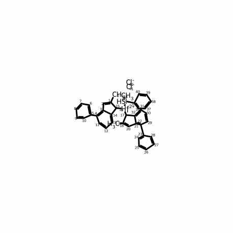 CC1=Cc2c(-c3ccccc3)cccc2[CH]1[Hf+2]([CH]1C(C)=Cc2c(-c3ccccc3)cccc21)[SiH](C)c1ccccc1.[Cl-].[Cl-]